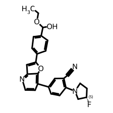 CCOC(O)c1ccc(-c2cc3nccc(-c4ccc(N5CC[C@H](F)C5)c(C#N)c4)c3o2)cc1